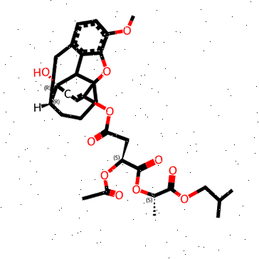 COc1ccc2c3c1OC14CCC[C@H](C2)[C@](O)(CC=C1OC(=O)C[C@H](OC(C)=O)C(=O)O[C@@H](C)C(=O)OCC(C)C)C34